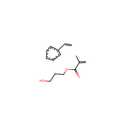 C=C(C)C(=O)OCCCO.C=Cc1ccccc1